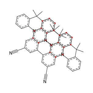 CC1(C)c2ccccc2N(c2cc(C#N)cc(-c3cc(C#N)cc(N4c5ccccc5C(C)(C)c5ccccc54)c3N3c4ccccc4C(C)(C)c4ccccc43)c2N2c3ccccc3C(C)(C)c3ccccc32)c2ccccc21